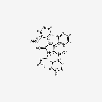 C=CCn1c(C(=O)N2CCNCC2)c(-c2ccccc2)n(-c2ccccc2OC)c1=O